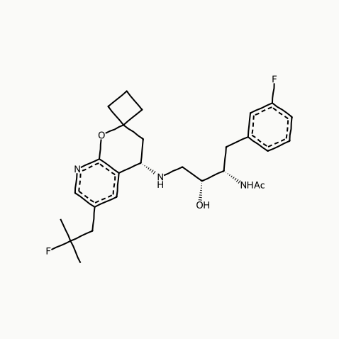 CC(=O)N[C@@H](Cc1cccc(F)c1)[C@H](O)CN[C@H]1CC2(CCC2)Oc2ncc(CC(C)(C)F)cc21